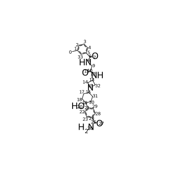 Cc1cccc(C(=O)NCC(=O)NC2CN(C3CCC(O)(c4ccc(C(N)=O)cc4)CC3)C2)c1